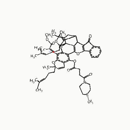 COC(=O)/C(C)=C\CC12OC(C)(C)C3CC(C1=O)C1C4=C(OC5=C1C32Oc1c(CC=C(C)C)c2c(c(OC(=O)CCC(=O)N3CCN(C)CC3)c15)C=CC(C)(CCC=C(C)C)O2)c1ccccc1C4=O